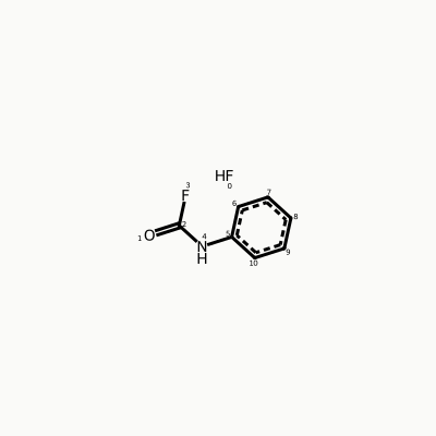 F.O=C(F)Nc1ccccc1